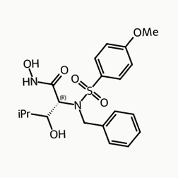 COc1ccc(S(=O)(=O)N(Cc2ccccc2)[C@@H](C(=O)NO)C(O)C(C)C)cc1